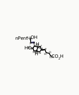 CCCCC[C@H](O)/C=C/[C@@H]1[C@H]2CC(=CCCCC(=O)O)C[C@H]2C[C@H]1O